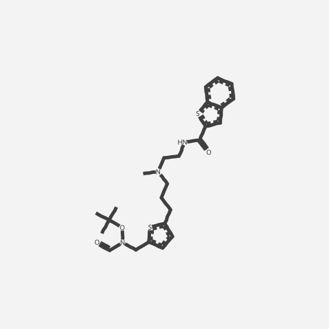 CN(CCCc1ccc(CN(C=O)OC(C)(C)C)s1)CCNC(=O)c1cc2ccccc2s1